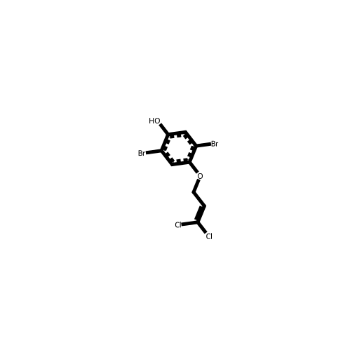 Oc1cc(Br)c(OCC=C(Cl)Cl)cc1Br